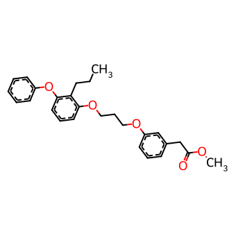 CCCc1c(OCCCOc2cccc(CC(=O)OC)c2)cccc1Oc1ccccc1